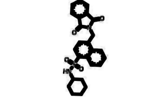 O=C1c2ccccc2C(=O)N1Cc1ccc(S(=O)(=O)NC2CCCCC2)c2ccccc12